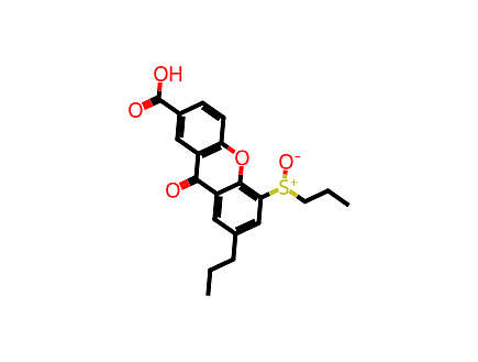 CCCc1cc([S+]([O-])CCC)c2oc3ccc(C(=O)O)cc3c(=O)c2c1